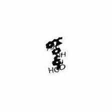 CCC(=Cc1ccccc1)C1C[C@@H]1NC1CCC(NCc2ccc(C(=O)O)nc2)CC1